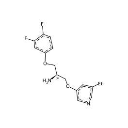 CCc1cncc(OC[C@@H](N)COc2ccc(F)c(F)c2)c1